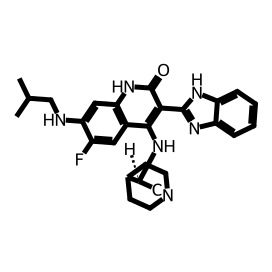 CC(C)CNc1cc2[nH]c(=O)c(-c3nc4ccccc4[nH]3)c(N[C@H]3CN4CCC3CC4)c2cc1F